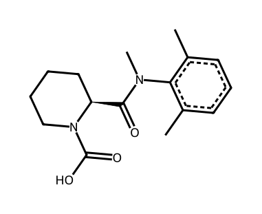 Cc1cccc(C)c1N(C)C(=O)[C@@H]1CCCCN1C(=O)O